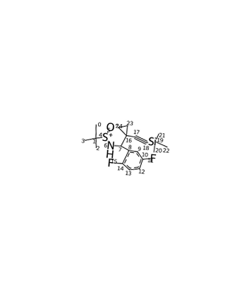 CC(C)(C)[S+]([O-])NC(c1cc(F)ccc1F)C1(C#C[Si](C)(C)C)CC1